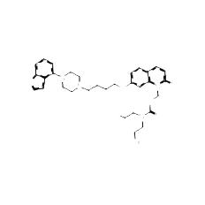 O=C(OCn1c(=O)ccc2ccc(OCCCCN3CCN(c4cccc5sccc45)CC3)cc21)N(CCO)CCO